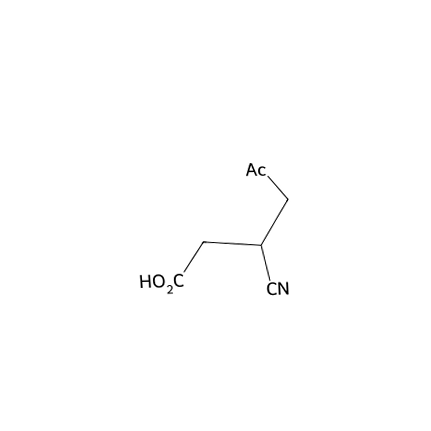 CC(=O)CC(C#N)CC(=O)O